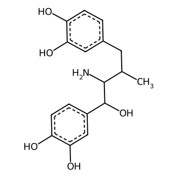 CC(Cc1ccc(O)c(O)c1)C(N)C(O)c1ccc(O)c(O)c1